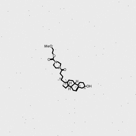 COCCOC(=O)N1CCN(C(=O)CC[C@@H](C)[C@H]2CC[C@H]3[C@@H]4CC=C5C[C@@H](O)CC[C@]5(C)[C@H]4CC[C@]23C)CC1